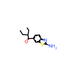 CCC(CC)C(=O)c1ccc2nc(N)sc2c1